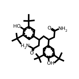 CC(C)(C)c1cc(C(CC(N)=O)CC(CC(N)=O)c2cc(C(C)(C)C)c(O)c(C(C)(C)C)c2)cc(C(C)(C)C)c1O